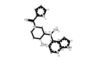 C[C@@H]1CCN(C(=O)c2ccco2)CC1N(C)c1ccnc2[nH]ccc12